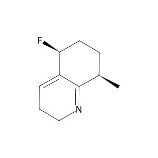 C[C@@H]1CC[C@H](F)C2=CCCN=C21